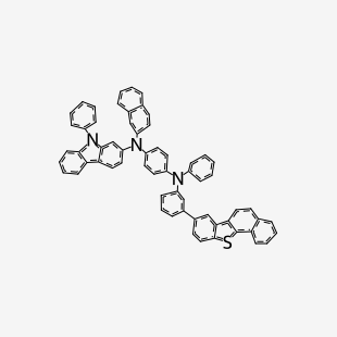 c1ccc(N(c2ccc(N(c3ccc4ccccc4c3)c3ccc4c5ccccc5n(-c5ccccc5)c4c3)cc2)c2cccc(-c3ccc4sc5c6ccccc6ccc5c4c3)c2)cc1